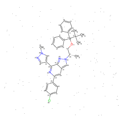 C[C@@H](CO[Si](c1ccccc1)(c1ccccc1)C(C)(C)C)n1cc2cc(-c3ccc(Cl)cc3)nc(-c3cnn(C)c3)c2n1